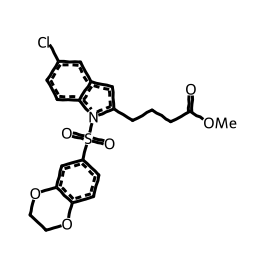 COC(=O)CCCc1cc2cc(Cl)ccc2n1S(=O)(=O)c1ccc2c(c1)OCCO2